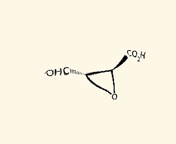 O=[C][C@H]1O[C@@H]1C(=O)O